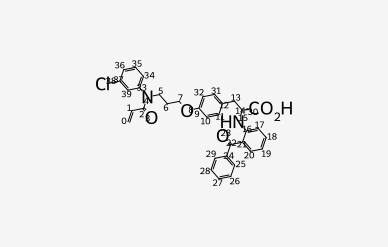 C=CC(=O)N(CCCOc1ccc(C[C@H](Nc2ccccc2C(=O)c2ccccc2)C(=O)O)cc1)c1cccc(Cl)c1